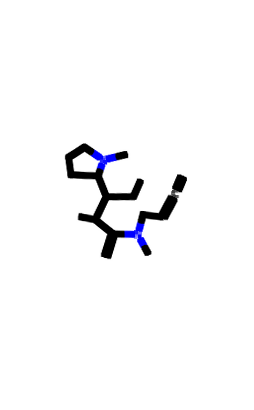 C=C=CCN(C)C(=C)C(C)C(CC)C1CCCN1C